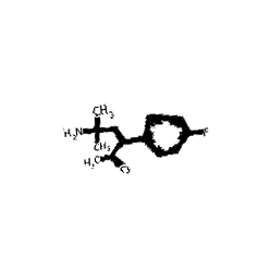 CC(=O)C(CC(C)(C)N)c1ccc(F)cc1